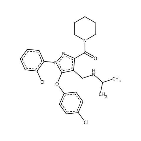 CC(C)NCc1c(C(=O)N2CCCCC2)nn(-c2ccccc2Cl)c1Oc1ccc(Cl)cc1